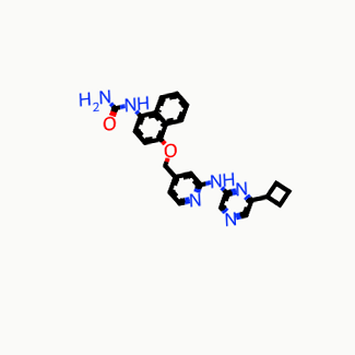 NC(=O)Nc1ccc(OCc2ccnc(Nc3cncc(C4CCC4)n3)c2)c2ccccc12